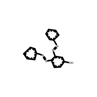 Oc1ccc(N=Nc2ccccc2)c(N=Nc2ccccc2)c1